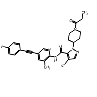 CCC(=O)N1CCC(n2ncc(Cl)c2C(=O)Nc2ncc(C#Cc3ccc(F)cc3)cc2C)CC1